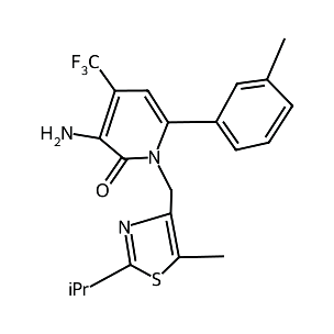 Cc1cccc(-c2cc(C(F)(F)F)c(N)c(=O)n2Cc2nc(C(C)C)sc2C)c1